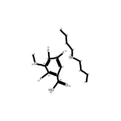 CCC[CH2][Sn][CH2]CCC.COc1c(F)c(F)cc(C(=O)O)c1F